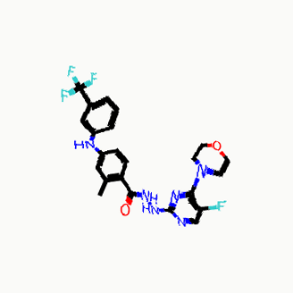 Cc1cc(Nc2cccc(C(F)(F)F)c2)ccc1C(=O)NNc1ncc(F)c(N2CCOCC2)n1